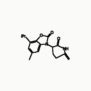 C=C1CCC(n2c(=O)oc3c(C(C)C)cc(C)cc32)C(=O)N1